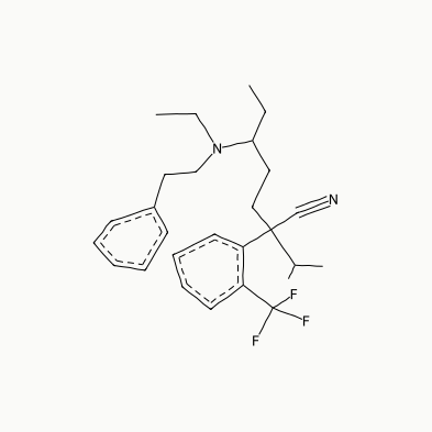 CCC(CCC(C#N)(c1ccccc1C(F)(F)F)C(C)C)N(CC)CCc1ccccc1